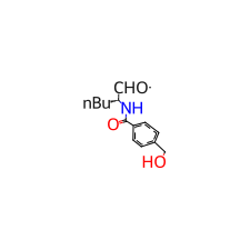 CCCC[C@@H]([C]=O)NC(=O)c1ccc(CO)cc1